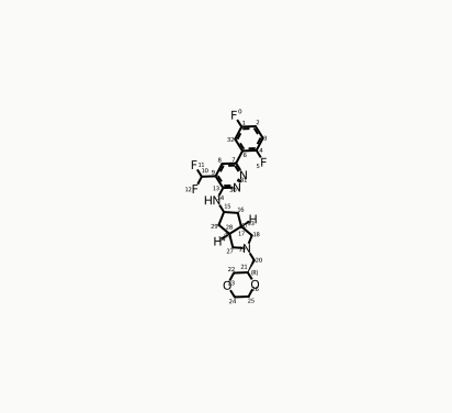 Fc1ccc(F)c(-c2cc(C(F)F)c(NC3C[C@@H]4CN(C[C@@H]5COCCO5)C[C@@H]4C3)nn2)c1